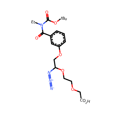 CCN(C(=O)OC(C)(C)C)C(=O)c1cccc(OCC(N=[N+]=[N-])OCCOCC(=O)O)c1